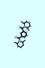 CC1CCCC(C)N1C(=O)c1cccc(C(=O)N2C(C)CCCC2C)c1